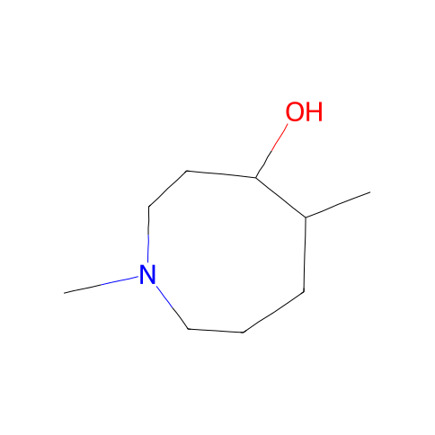 CC1CCCN(C)CCC1O